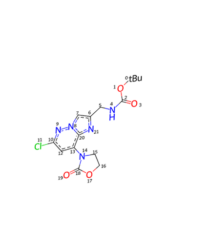 CC(C)(C)OC(=O)NCc1cn2nc(Cl)cc(N3CCOC3=O)c2n1